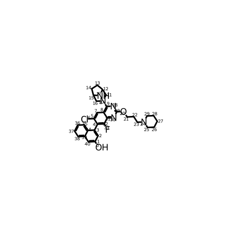 Oc1cc(-c2c(Cl)cc3c(N4CC5CCC(C4)N5)nc(OCCCN4CCCCC4)nc3c2F)c2ccccc2c1